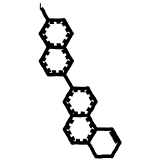 Ic1ccc2cc(-c3ccc4c5c(ccc4c3)CCC=C5)ccc2c1